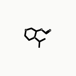 CC(C)N1CCOCC1OC=O